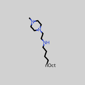 CCCCCCCCCCCCNCCN1CCN(C)CC1